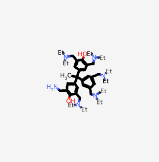 CCN(CC)Cc1cc(CN(CC)CC)cc(C(C)(c2cc(CN)c(O)c(CN(CC)CC)c2)c2cc(CN(CC)CC)c(O)c(CN(CC)CC)c2)c1